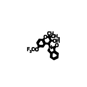 CC1(C)Oc2ccc(OC(F)(F)F)cc2C(N2Cc3ccccc3C2=O)C1O